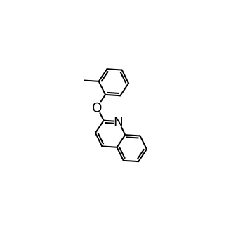 Cc1ccccc1Oc1ccc2ccccc2n1